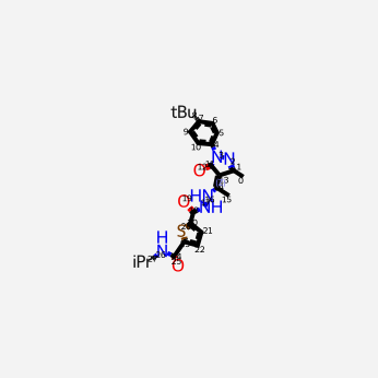 CC1=NN(c2ccc(C(C)(C)C)cc2)C(=O)/C1=C(/C)NNC(=O)c1ccc(C(=O)NC(C)C)s1